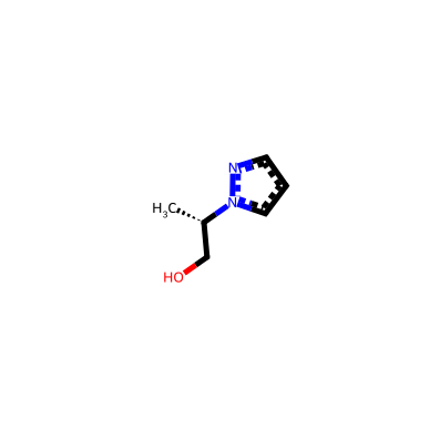 C[C@@H](CO)n1cccn1